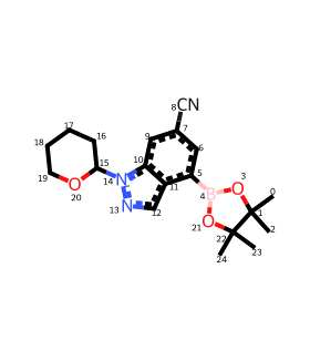 CC1(C)OB(c2cc(C#N)cc3c2cnn3C2CCCCO2)OC1(C)C